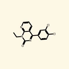 CCn1c(=O)nc(-c2ccc(Cl)c(Cl)c2)c2cccnc21